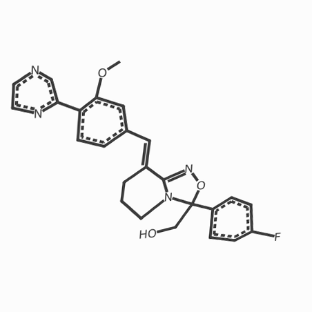 COc1cc(/C=C2\CCCN3C2=NOC3(CO)c2ccc(F)cc2)ccc1-c1cnccn1